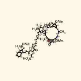 CNN(C)Cc1cc2ccccc2n1CCC(=O)N[C@@H](CCCC(=O)O)C(=O)NCCOCCOCCC(=O)N(C)[C@@H](C)C(=O)O[C@H]1CC(=O)N(C)c2cc(cc(OC)c2Cl)C/C(C)=C/C=C/[C@@H](OC)[C@@]2(O)C[C@H](OC(=O)N2)[C@@H](C)C2O[C@]21C